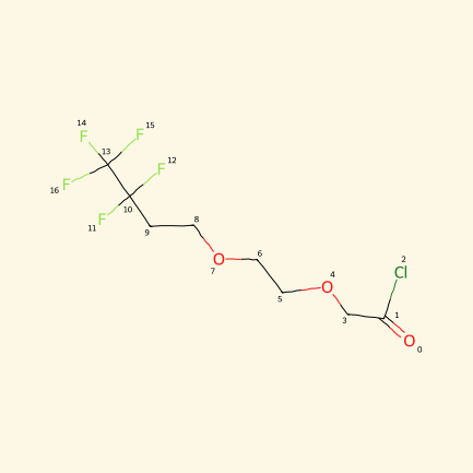 O=C(Cl)COCCOCCC(F)(F)C(F)(F)F